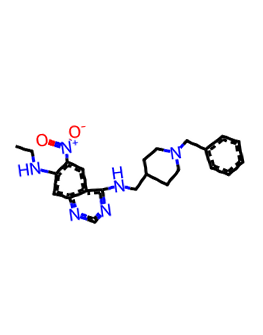 CCNc1cc2ncnc(NCC3CCN(Cc4ccccc4)CC3)c2cc1[N+](=O)[O-]